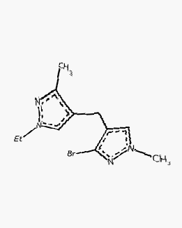 CCn1cc(Cc2cn(C)nc2Br)c(C)n1